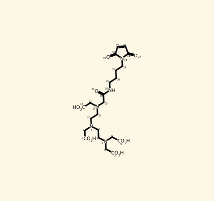 O=C(O)CN(CCN(CC(=O)O)CC(=O)O)CCN(CC(=O)O)CC(=O)NCCCCN1C(=O)C=CC1=O